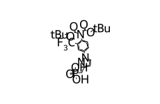 CC(C)(C)OC(=O)N(C(=O)OC(C)(C)C)c1ccc(-n2ccc(CP(=O)(O)O)n2)cc1C(F)(F)F